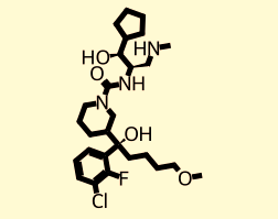 CNC[C@@H](NC(=O)N1CCCC([C@@](O)(CCCCOC)c2cccc(Cl)c2F)C1)[C@@H](O)C1CCCC1